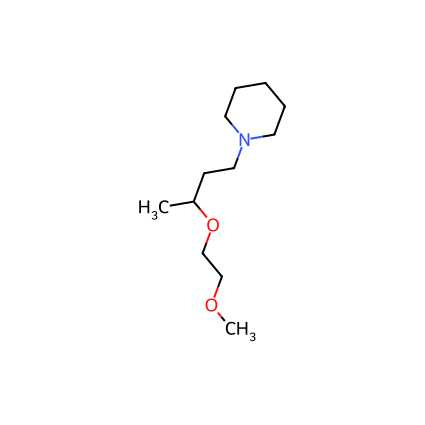 COCCOC(C)CCN1CCCCC1